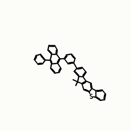 CC1(C)c2cc(-c3cccc(-c4c5ccccc5c(-c5ccccc5)c5ccccc45)c3)ccc2-c2cc3c(cc21)sc1ccccc13